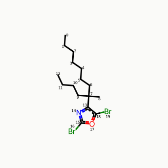 CCCCCCCC(C)(CCCC)c1nc(Br)oc1Br